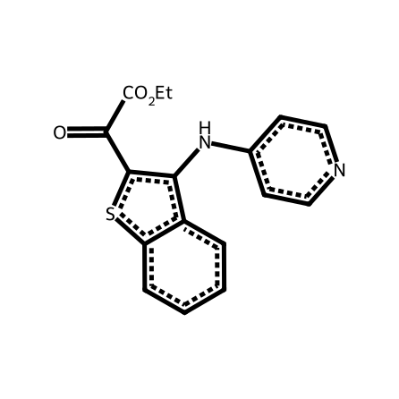 CCOC(=O)C(=O)c1sc2ccccc2c1Nc1ccncc1